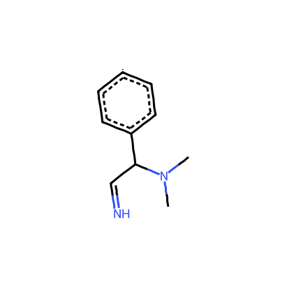 CN(C)C(C=N)c1cc[c]cc1